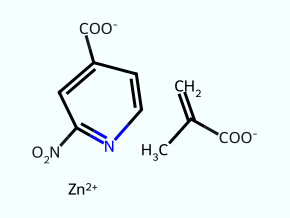 C=C(C)C(=O)[O-].O=C([O-])c1ccnc([N+](=O)[O-])c1.[Zn+2]